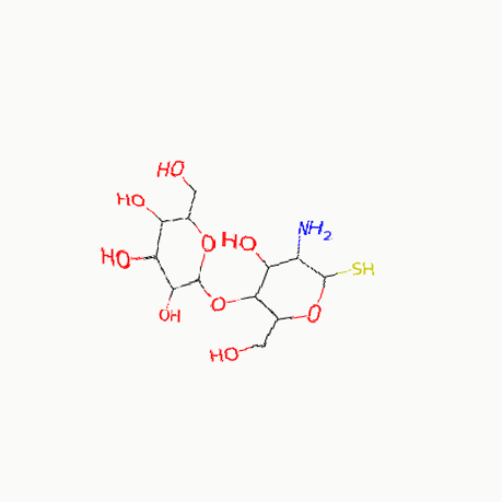 NC1C(S)OC(CO)C(OC2OC(CO)C(O)C(O)C2O)C1O